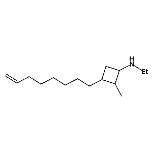 C=CCCCCCCC1CC(NCC)C1C